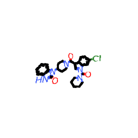 O=C(c1cn(C(=O)N2CCCCC2)c2cc(Cl)ccc12)N1CCC(n2c(=O)[nH]c3ccccc32)CC1